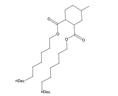 CCCCCCCCCCCCCCCCOC(=O)C1CCC(C)CC1C(=O)OCCCCCCCCCCCCCCCC